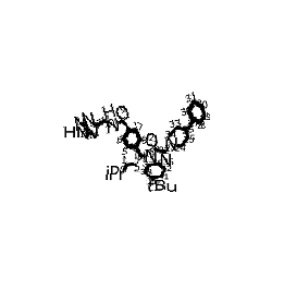 CC(C)CC[C@H](c1ccc(C(=O)NCc2nn[nH]n2)cc1)N1C(=O)C(N2CCC(c3ccccc3)CC2)=NC12CCC(C(C)(C)C)CC2